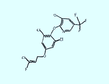 F/C(Cl)=C/COc1cc(Cl)c(Oc2ncc(C(F)(F)F)cc2Cl)c(Cl)c1